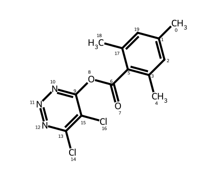 Cc1cc(C)c(C(=O)Oc2nnnc(Cl)c2Cl)c(C)c1